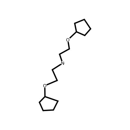 C1CCC(OCC[N]CCOC2CCCC2)C1